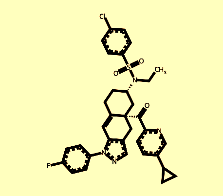 CCN([C@H]1CCC2=Cc3c(cnn3-c3ccc(F)cc3)C[C@]2(C(=O)c2ccc(C3CC3)cn2)C1)S(=O)(=O)c1ccc(Cl)cc1